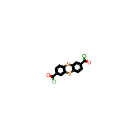 O=C(Cl)c1ccc2c(c1)Sc1ccc(C(=O)Cl)cc1S2